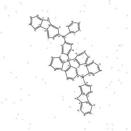 c1ccc(N(c2ccc([Si](c3ccccc3)(c3ccccc3)c3cccc(N(c4ccccc4)c4ccc5c(c4)sc4ccccc45)c3)cc2)c2ccc3c(c2)oc2ccccc23)cc1